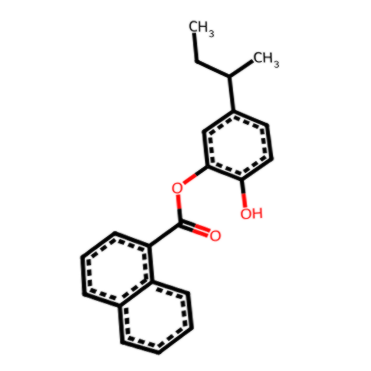 CCC(C)c1ccc(O)c(OC(=O)c2cccc3ccccc23)c1